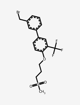 CS(=O)(=O)CCCOc1ccc(-c2cccc(CBr)c2)cc1C(F)(F)F